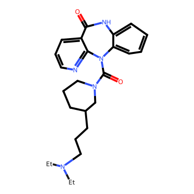 CCN(CC)CCCC1CCCN(C(=O)N2c3ccccc3NC(=O)c3cccnc32)C1